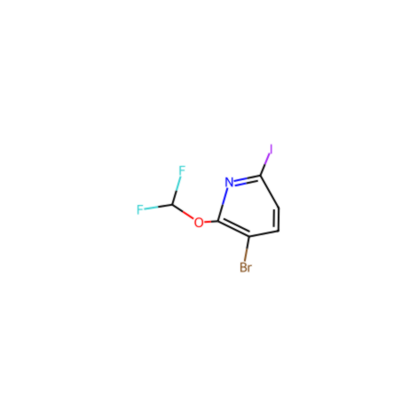 FC(F)Oc1nc(I)ccc1Br